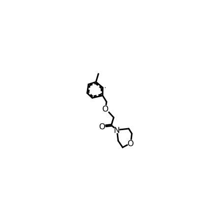 Cc1[c]c(COCC(=O)N2CCOCC2)ccc1